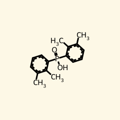 Cc1cccc(P(=O)(O)c2cccc(C)c2C)c1C